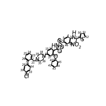 CC(Nc1ccc(S(=O)(=O)NC(=O)c2ccc(N3CCN(Cc4ccccc4-c4ccc(Cl)cc4)CC3)cc2Oc2ccccc2)cc1[N+](=O)[O-])c1cccs1